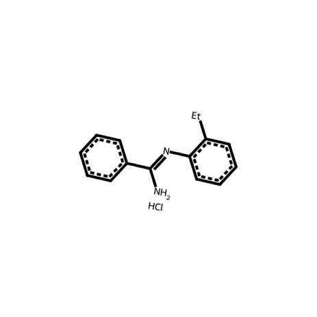 CCc1ccccc1N=C(N)c1ccccc1.Cl